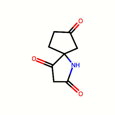 O=C1CCC2(C1)NC(=O)CC2=O